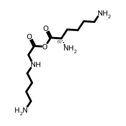 NCCCCNCC(=O)OC(=O)[C@@H](N)CCCCN